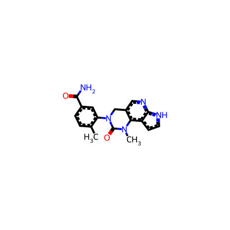 Cc1ccc(C(N)=O)cc1N1Cc2cnc3[nH]ccc3c2N(C)C1=O